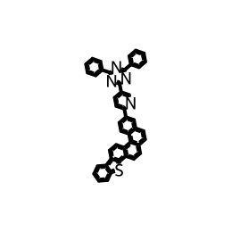 c1ccc(-c2nc(-c3ccccc3)nc(-c3ccc(-c4ccc5c(ccc6ccc7c(ccc8c9ccccc9sc87)c65)c4)nc3)n2)cc1